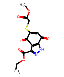 CCOC(=O)c1n[nH]c2c1C(=O)C(SCC(=O)OC)=CC2=O